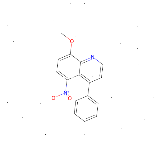 COc1ccc([N+](=O)[O-])c2c(-c3ccccc3)ccnc12